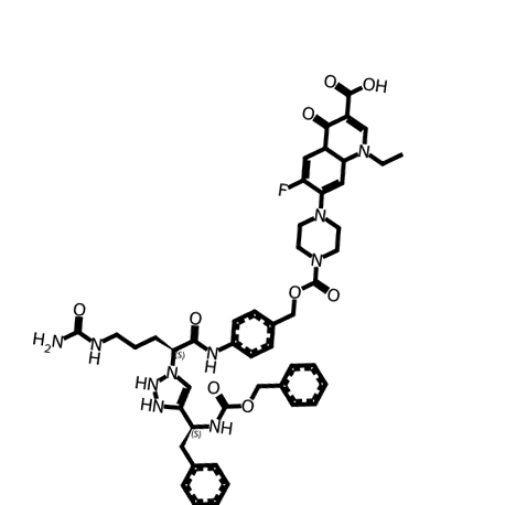 CCN1C=C(C(=O)O)C(=O)C2C=C(F)C(N3CCN(C(=O)OCc4ccc(NC(=O)[C@H](CCCNC(N)=O)N5C=C([C@H](Cc6ccccc6)NC(=O)OCc6ccccc6)NN5)cc4)CC3)=CC21